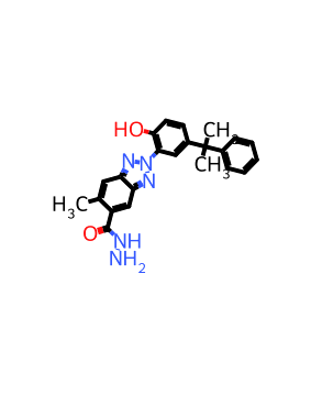 Cc1cc2nn(-c3cc(C(C)(C)c4ccccc4)ccc3O)nc2cc1C(=O)NN